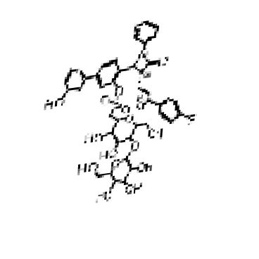 O=C1[C@H](CCC(O)c2ccc(F)cc2)C(c2ccc(-c3cccc(O)c3)cc2OS(=O)(=O)CC2OC(CO)C(OC3OC(CO)C(O)C(O)C3O)C(O)C2O)N1c1ccccc1